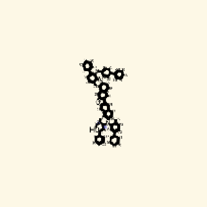 C/C=C(C)\C(=C/C(O)c1ccccc1)N(c1ccc2cc3c(cc2c1)oc1cc2cc(N(C4=CC(c5ccccc5)CC=C4C)c4cc(-c5ccccc5)ccc4C)ccc2cc13)c1cc(C2=CCCC=C2)ccc1C